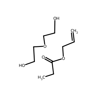 C=CCOC(=O)CC.OCCOCCO